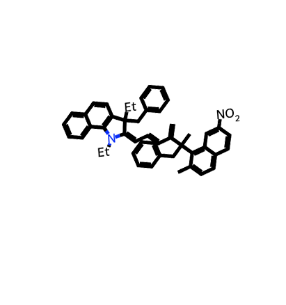 C=C(/C=C/C=C1/N(CC)c2c(ccc3ccccc23)C1(CC)Cc1ccccc1)C(C)(Cc1ccccc1)c1c(C)ccc2ccc([N+](=O)[O-])cc12